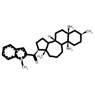 C[C@H]1CC[C@]2(N)C3CCC[C@@]4(C)C(CC[C@@H]4C(=O)c4cc5ccccc5n4C)[C@@H]3CC[C@]2(N)C1